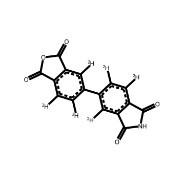 [2H]c1c([2H])c(-c2c([2H])c([2H])c3c(c2[2H])C(=O)OC3=O)c([2H])c2c1C(=O)NC2=O